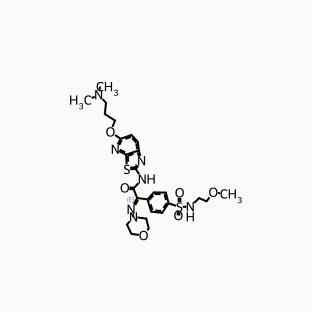 COCCNS(=O)(=O)c1ccc(/C(=N\N2CCOCC2)C(=O)Nc2nc3ccc(OCCCN(C)C)nc3s2)cc1